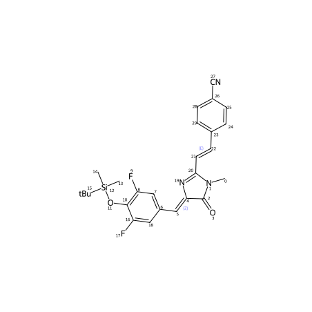 CN1C(=O)/C(=C/c2cc(F)c(O[Si](C)(C)C(C)(C)C)c(F)c2)N=C1/C=C/c1ccc(C#N)cc1